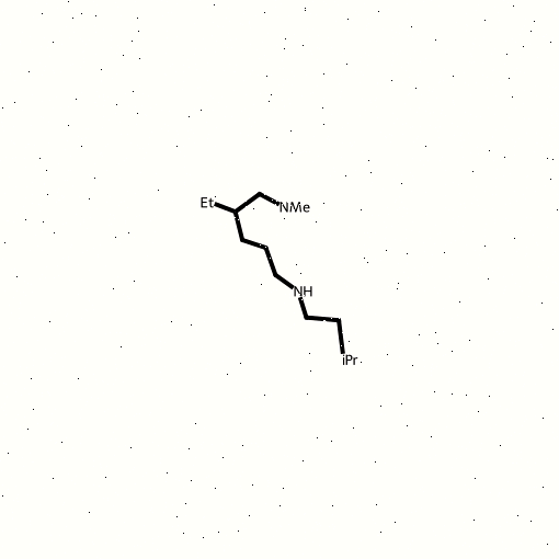 CCC(CCCNCCC(C)C)CNC